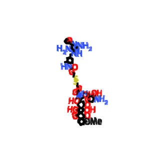 COc1cccc2c1C(=O)c1c(O)c3c(c(O)c1C2=O)C[C@@](O)(/C(CO)=N/NC(=O)OCCSSCCOC(=O)Nc1ccc(CNc2nc(N)nc(-c4ccco4)c2N)cc1C)C[C@@H]3OC1CC(N)C(O)C(C)O1